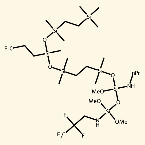 CCCN[Si](OC)(O[Si](C)(C)CC[Si](C)(C)O[Si](C)(CCC(F)(F)F)O[Si](C)(C)CC[Si](C)(C)C)O[Si](NCC(F)(F)C(F)(F)F)(OC)OC